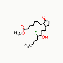 CCC/C=C(\F)[C@H](O)/C=C/[C@H]1CCC(=O)[C@@H]1C/C=C\CCCC(=O)OC